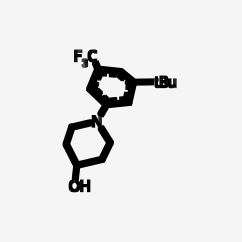 CC(C)(C)c1cc(N2CCC(O)CC2)cc(C(F)(F)F)c1